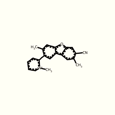 Cc1cc2c(cc1C#N)oc1cc(C)c(-c3cccc[n+]3C)cc12